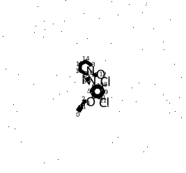 C#CCOc1cc(-n2nc3n(c2=O)CCCC3)c(Cl)cc1Cl